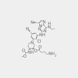 CCNc1nc(Nc2cc(C#N)cc(N3CC[C@@H](NC(=O)OC)[C@H](OC(=O)CCCN)C3)c2Cl)nn2c(C#N)cnc12